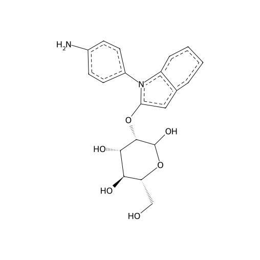 Nc1ccc(-n2c(O[C@@H]3C(O)O[C@H](CO)[C@@H](O)[C@@H]3O)cc3ccccc32)cc1